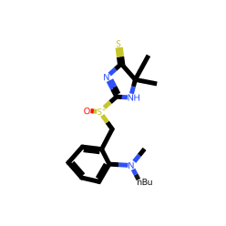 CCCCN(C)c1ccccc1C[S+]([O-])C1=NC(=S)C(C)(C)N1